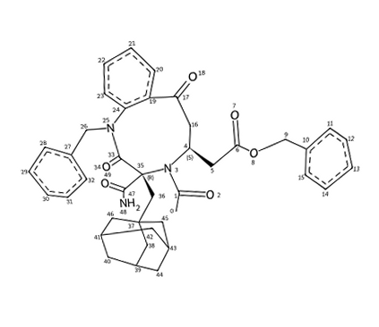 CC(=O)N1[C@H](CC(=O)OCc2ccccc2)CC(=O)c2ccccc2N(Cc2ccccc2)C(=O)[C@@]1(CC12CC3CC(CC(C3)C1)C2)C(N)=O